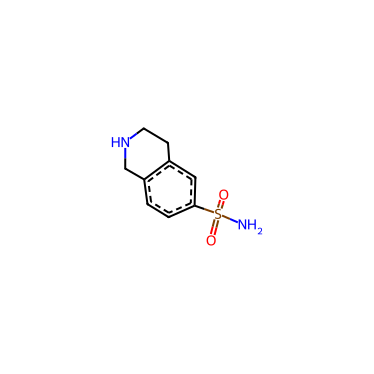 NS(=O)(=O)c1ccc2c(c1)CCNC2